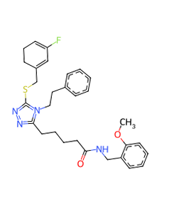 COc1ccccc1CNC(=O)CCCCc1nnc(SCC2=CC(F)=CCC2)n1CCc1ccccc1